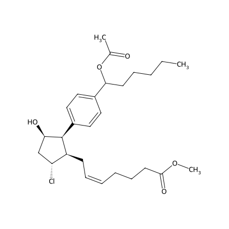 CCCCCC(OC(C)=O)c1ccc([C@H]2[C@@H](C/C=C\CCCC(=O)OC)[C@H](Cl)C[C@H]2O)cc1